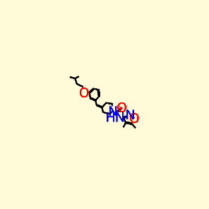 Cc1onc(NC(=O)N2CCC(=Cc3cccc(OCCC(C)C)c3)CC2)c1C